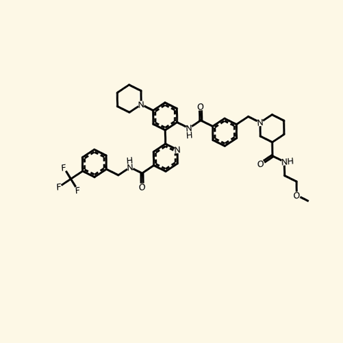 COCCNC(=O)C1CCCN(Cc2cccc(C(=O)Nc3ccc(N4CCCCC4)cc3-c3cc(C(=O)NCc4cccc(C(F)(F)F)c4)ccn3)c2)C1